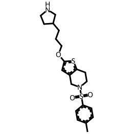 Cc1ccc(S(=O)(=O)N2CCc3sc(OCCCC4CCNC4)cc3C2)cc1